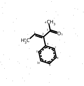 C/C=C(/C(C)=O)c1ccccc1